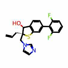 C=CC[C@@]1(Cn2ccnc2)Sc2cc(-c3c(F)cccc3F)ccc2[C@@H]1O